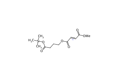 COC(=O)/C=C/C(=O)OCCCC(=O)O[Si](C)(C)C